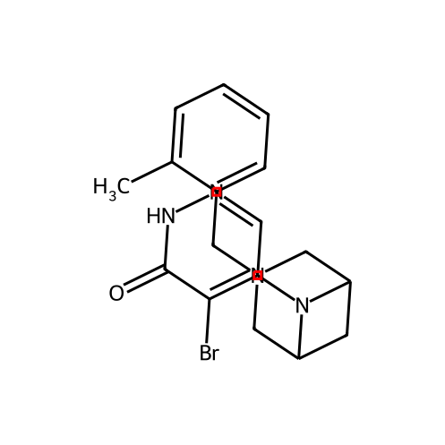 Cc1ccccc1CN1CC2CC(C1)N2c1cn[nH]c(=O)c1Br